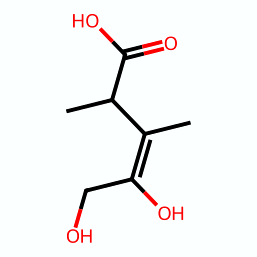 CC(=C(O)CO)C(C)C(=O)O